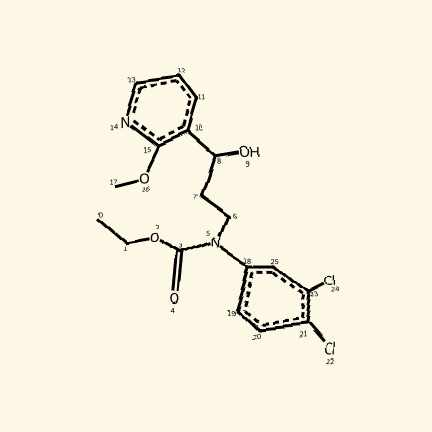 CCOC(=O)N(CCC(O)c1cccnc1OC)c1ccc(Cl)c(Cl)c1